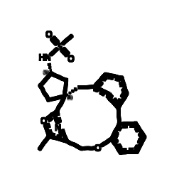 Cc1oc2nc1COc1ccccc1-c1cccc(c1)C[C@@]21CC[C@H](NS(C)(=O)=O)C1